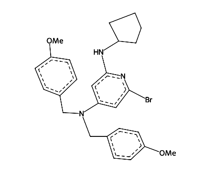 COc1ccc(CN(Cc2ccc(OC)cc2)c2cc(Br)nc(NC3CCCC3)c2)cc1